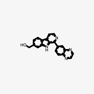 OCc1ccc2c(c1)[nH]c1c(-c3ccc4nccnc4c3)nccc12